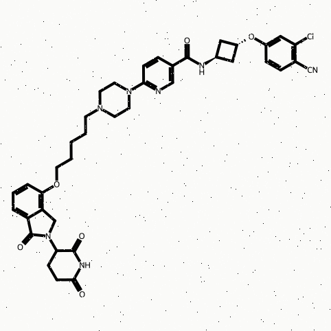 N#Cc1ccc(O[C@H]2C[C@H](NC(=O)c3ccc(N4CCN(CCCCCOc5cccc6c5CN(C5CCC(=O)NC5=O)C6=O)CC4)nc3)C2)cc1Cl